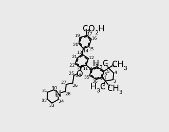 CC1(C)CCC(C)(C)c2cc(-c3cc(-c4ccc(C(=O)O)cc4)ccc3OCCCCN3CCCCC3)ccc21